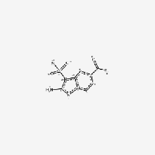 CCC(=O)c1ccc2nc(N)n(S(=O)(=O)C(C)C)c2c1